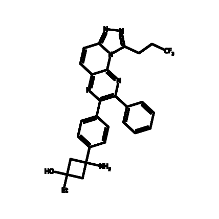 CCC1(O)CC(N)(c2ccc(-c3nc4ccc5nnc(CCC(F)(F)F)n5c4nc3-c3ccccc3)cc2)C1